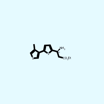 CCOC(=O)C[C@H](N)c1ccc(-c2cscc2C)s1